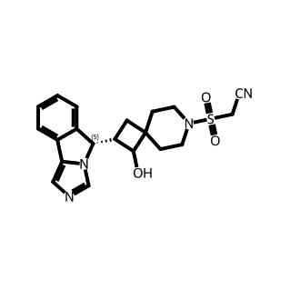 N#CCS(=O)(=O)N1CCC2(CC1)CC([C@H]1c3ccccc3-c3cncn31)C2O